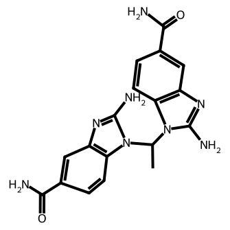 CC(n1c(N)nc2cc(C(N)=O)ccc21)n1c(N)nc2cc(C(N)=O)ccc21